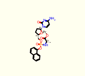 CC(C)OC(=O)[C@H](C)NP(=O)(OC[C@@H]1CC[C@H](n2ccc(N)nc2=O)O1)Oc1cccc2ccccc12